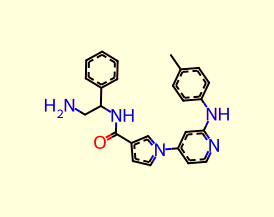 Cc1ccc(Nc2cc(-n3ccc(C(=O)NC(CN)c4ccccc4)c3)ccn2)cc1